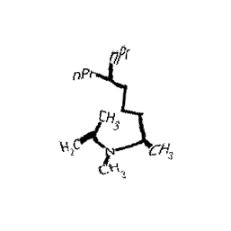 C=C(C)N(C)C(C)CCCC(CCC)CCC